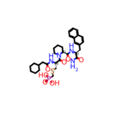 NC(=O)[C@H](Cc1ccc2ccccc2c1)NC(=O)[C@@H]1CCCCN1C(=O)[C@H](CSCP(=O)(O)O)NC(=O)CC1CCCCC1